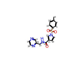 Cc1ccc(S(=O)(=O)n2ccc(C(=O)NCc3cnccn3)c2)cc1